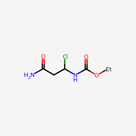 CCOC(=O)NC(Cl)CC(N)=O